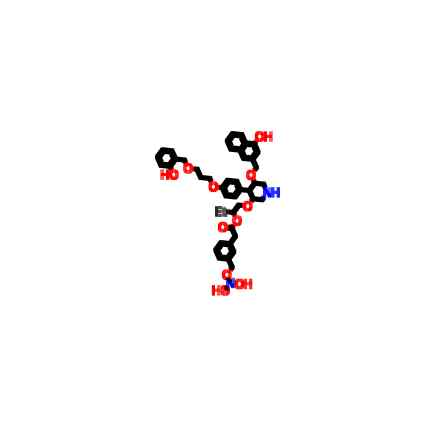 CCC(COC1CNCC(OCc2cc(O)c3ccccc3c2)C1c1ccc(OCCCOCc2ccccc2O)cc1)OC(=O)Cc1cccc(CON(O)O)c1